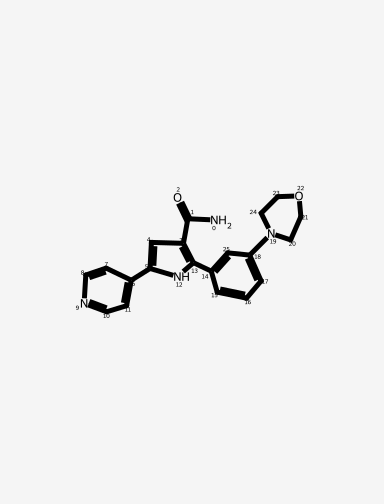 NC(=O)c1cc(-c2ccncc2)[nH]c1-c1cccc(N2CCOCC2)c1